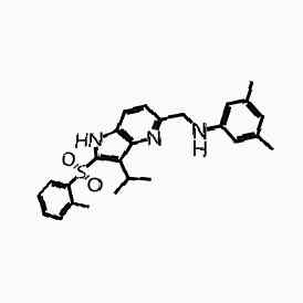 Cc1cc(C)cc(NCc2ccc3[nH]c(S(=O)(=O)c4ccccc4C)c(C(C)C)c3n2)c1